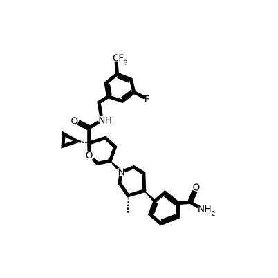 C[C@@H]1CN([C@@H]2CC[C@@](C(=O)NCc3cc(F)cc(C(F)(F)F)c3)(C3CC3)OC2)CC[C@H]1c1cccc(C(N)=O)c1